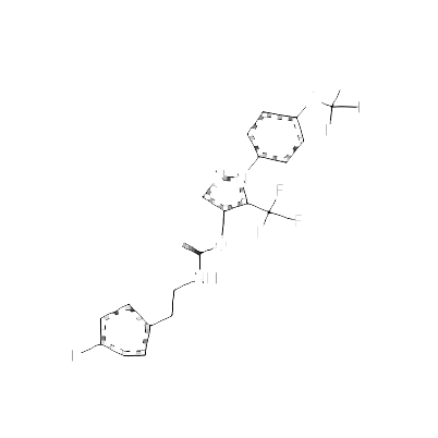 O=C(NCCc1ccc(F)cc1)Oc1cnn(-c2ccc(OC(F)(F)F)cc2)c1C(F)(F)F